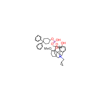 COC12CCC3(CC1C(C)(OP(=O)(O)OC1CCC(c4ccccc4)(c4ccccc4)CC1)C(C)(C)C)C1Cc4ccc(O)c5c4C3(CCN1CC1CC1)C2O5